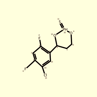 Fc1cc(F)c(C2CCO[PH](=S)O2)cc1Cl